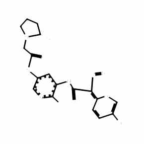 Cc1ncc(NC(=O)CN2CCC[C@@H]2C)cc1NC(=O)/C(N=N)=C1\C=CC(Br)=CN1